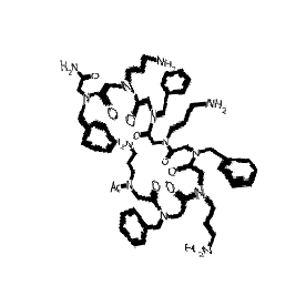 CC(=O)N(CCCN)CC(=O)N(CC(=O)N(CCCN)CC(=O)N(CC(=O)N(CCCN)CC(=O)N(CC(=O)N(CCCN)CC(=O)N(CC(N)=O)Cc1ccccc1)Cc1ccccc1)Cc1ccccc1)Cc1ccccc1